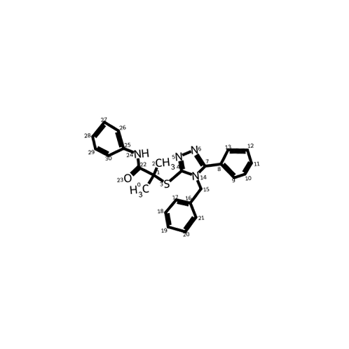 CC(C)(Sc1nnc(-c2ccccc2)n1Cc1ccccc1)C(=O)Nc1ccccc1